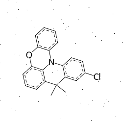 CC1(C)c2cc(Cl)ccc2N2c3ccccc3Oc3cccc1c32